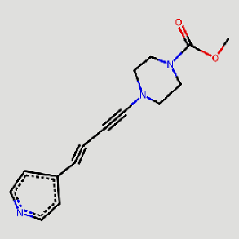 COC(=O)N1CCN(C#CC#Cc2ccncc2)CC1